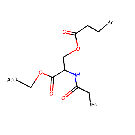 CC(=O)CCC(=O)OCC(NC(=O)CC(C)(C)C)C(=O)OCOC(C)=O